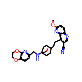 COc1ccc2ncc(C#N)c(CCC34CCC(NCc5ccc6c(n5)OCCO6)(CC3)CO4)c2n1